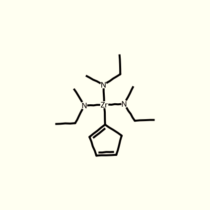 CC[N](C)[Zr]([C]1=CC=CC1)([N](C)CC)[N](C)CC